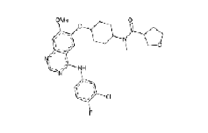 COc1cc2ncnc(Nc3ccc(F)c(Cl)c3)c2cc1OC1CCC(N(C)C(=O)C2CCOC2)CC1